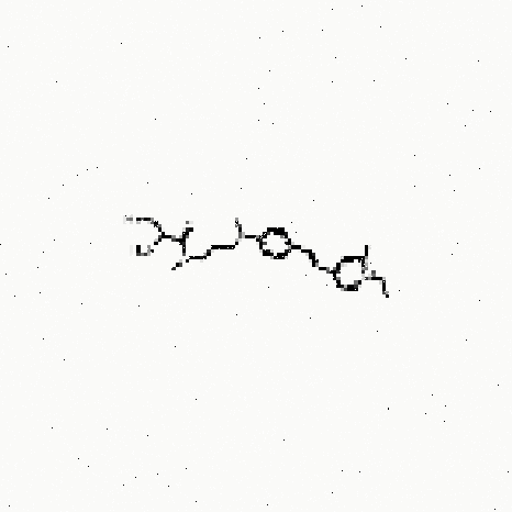 CC[n+]1ccc(/C=C/c2ccc(N(C)CCCN(C)C(=O)C(N)CS)cc2)cc1C